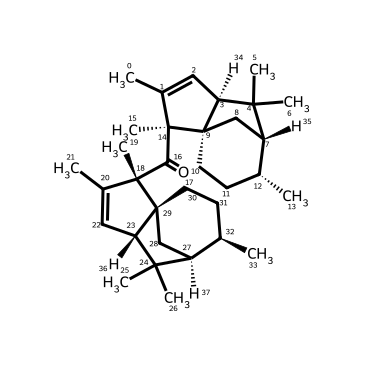 CC1=C[C@H]2C(C)(C)[C@H]3C[C@@]2(CC[C@H]3C)[C@@]1(C)C(=O)[C@@]1(C)C(C)=C[C@H]2C(C)(C)[C@H]3C[C@]21CC[C@H]3C